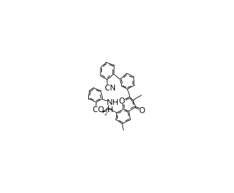 Cc1cc([C@@H](C)Nc2ccccc2C(=O)O)c2oc(-c3cccc(-c4ccccc4C#N)c3)c(C)c(=O)c2c1